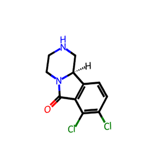 O=C1c2c(ccc(Cl)c2Cl)[C@@H]2CNCCN12